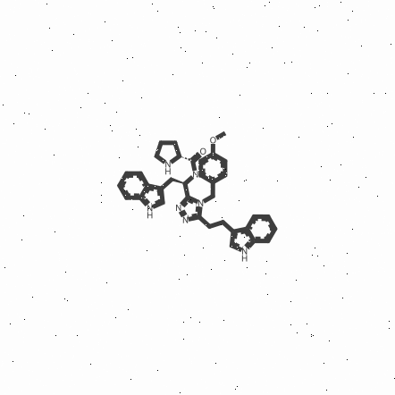 COc1ccc(Cn2c(CCc3c[nH]c4ccccc34)nnc2[C@@H](Cc2c[nH]c3ccccc23)NC(=O)[C@H]2CCCN2)cc1